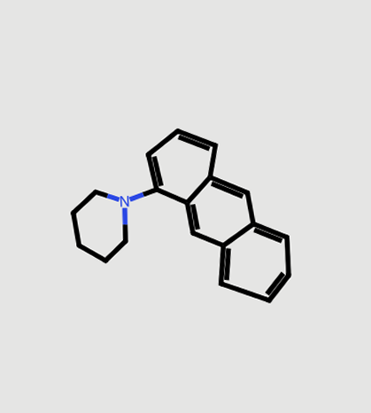 c1ccc2cc3c(N4CCCCC4)cccc3cc2c1